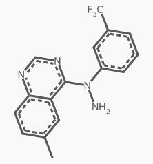 Cc1ccc2ncnc(N(N)c3cccc(C(F)(F)F)c3)c2c1